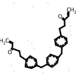 C=CC(=O)CCc1ccc(Cc2ccc(Cc3ccc(CCC(=O)C=C)cc3)cc2)cc1